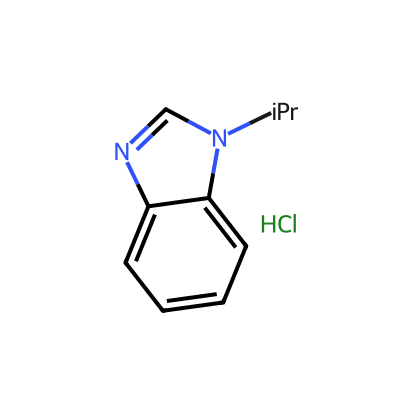 CC(C)n1cnc2ccccc21.Cl